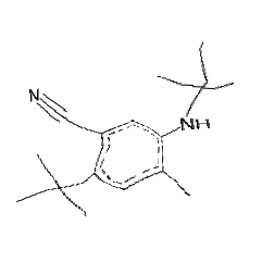 Cc1cc(C(C)(C)C)c(C#N)cc1NC(C)(C)C